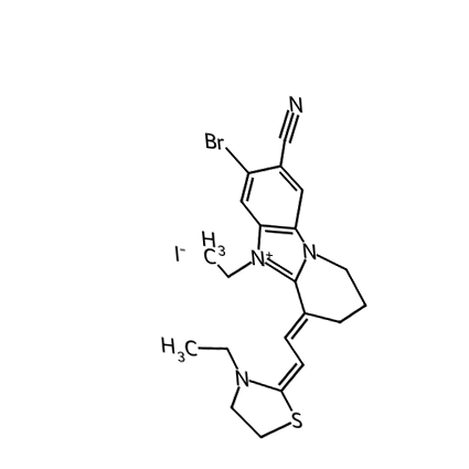 CCN1CCSC1=CC=C1CCCn2c1[n+](CC)c1cc(Br)c(C#N)cc12.[I-]